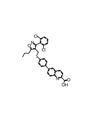 CCCc1onc(-c2c(Cl)cccc2Cl)c1CSc1ccc(-c2ccc3nc(C(=O)O)ccc3c2)cc1